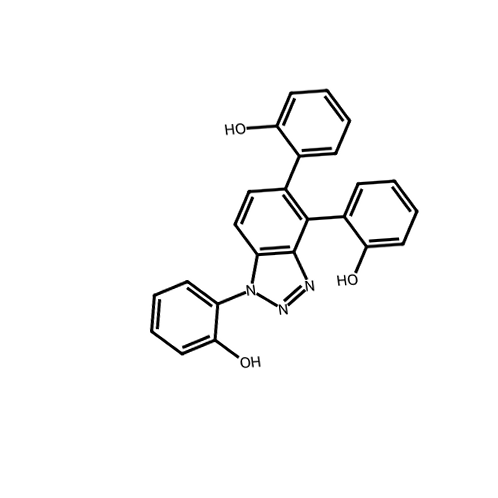 Oc1ccccc1-c1ccc2c(nnn2-c2ccccc2O)c1-c1ccccc1O